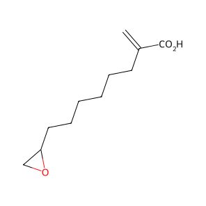 C=C(CCCCCCC1CO1)C(=O)O